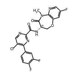 CN1C(=O)[C@@H](NC(=O)c2ncc(Cl)c(-c3ccc(F)c(F)c3)n2)COc2cc(F)cnc21